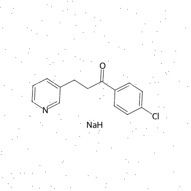 O=C(CCc1cccnc1)c1ccc(Cl)cc1.[NaH]